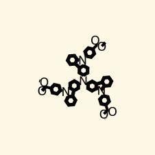 COC(=O)c1ccc(-n2c3ccccc3c3cc(N(c4ccc5c(c4)c4ccccc4n5-c4ccc(C(=O)OC)cc4)c4ccc5c(c4)c4ccccc4n5-c4ccc(C(=O)OC)cc4)ccc32)cc1